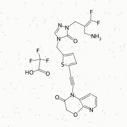 NCC(Cn1ncn(Cc2ccc(C#CN3C(=O)COc4ncccc43)s2)c1=O)=C(F)F.O=C(O)C(F)(F)F